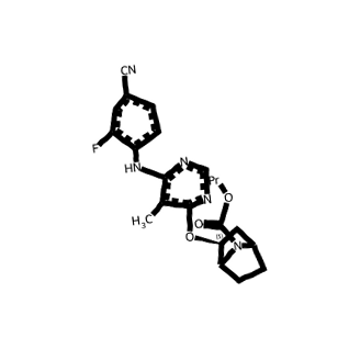 Cc1c(Nc2ccc(C#N)cc2F)ncnc1O[C@H]1CC2CCC1N2C(=O)OC(C)C